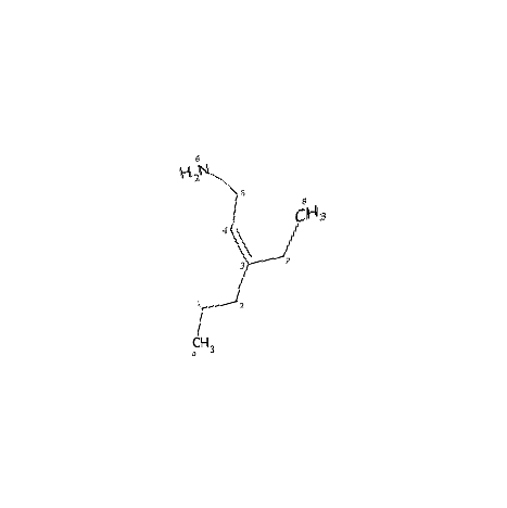 CCCC(=CCN)CC